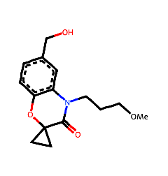 COCCCN1C(=O)C2(CC2)Oc2ccc(CO)cc21